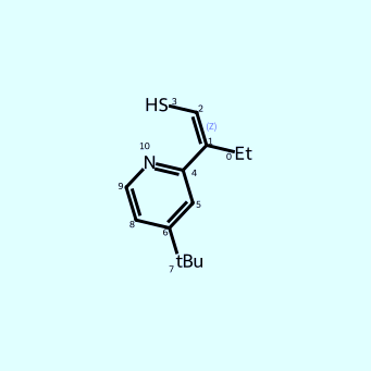 CC/C(=C/S)c1cc(C(C)(C)C)ccn1